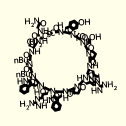 CCCC[C@H]1C(=O)N(C)[C@@H](CCCC)C(=O)N[C@@H](CC(=O)O)C(=O)N[C@H](C(=O)NCC(N)=O)CSCC(=O)N[C@@H](Cc2ccc(O)cc2)C(=O)N(C)[C@@H](C)C(=O)N[C@@H](CC(O)O)C(=O)N2CCC[C@H]2C(=O)N[C@@H](CC2C=NC=N2)C(=O)N[C@@H](CCCNC(=N)N)C(=O)N2CCC[C@H]2C(=O)N[C@@H](Cc2c[nH]c3ccccc23)C(=O)N[C@@H](CCCNC(=N)N)C(=O)N[C@@H](Cc2c[nH]c3ccccc23)C(=O)N1C